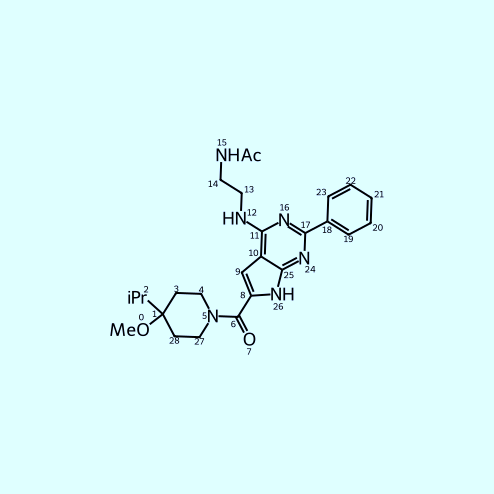 COC1(C(C)C)CCN(C(=O)c2cc3c(NCCNC(C)=O)nc(-c4ccccc4)nc3[nH]2)CC1